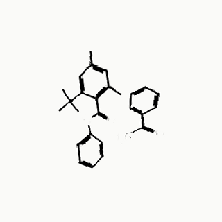 Cc1cc(C)c(C(=O)Oc2ccccc2)c(C(C)(C)C)c1.NC(=O)c1ccccc1